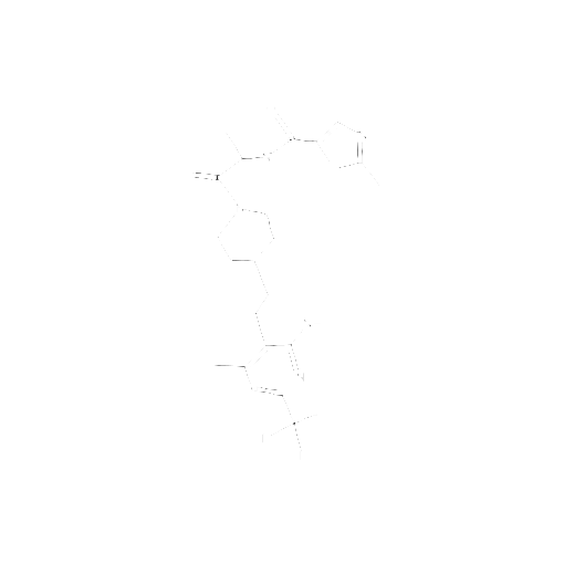 Cc1ncc(C(=O)NC(C)C(=O)N2CCC(CCc3c(C)nc(C(F)(F)F)nc3N)CC2)s1